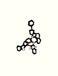 c1ccc(-c2ccc3c(c2)c2ccc4cccc5c4c2n3c2ccccc2n5-c2nc3ccccc3nc2-c2cccc3c2oc2ccccc23)cc1